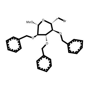 CO[C@@H]1O[C@H](CBr)[C@@H](OCc2ccccc2)[C@H](OCc2ccccc2)[C@H]1OCc1ccccc1